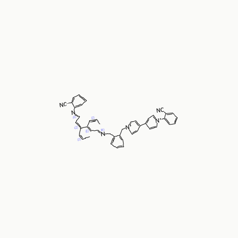 C\C=C/C(=C/C=N/c1ccccc1C#N)C(/C=C\C)=C/C=N/Cc1ccccc1C[n+]1ccc(-c2cc[n+](-c3ccccc3C#N)cc2)cc1